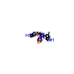 Fc1cc(-c2nc(N3CCOCC3)c3oc(CN4CCC5(CCNC5)CC4)cc3n2)c2cc[nH]c2c1